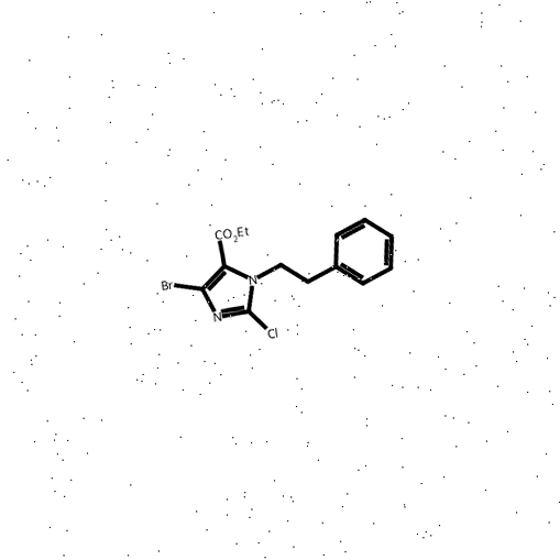 CCOC(=O)c1c(Br)nc(Cl)n1CCc1ccccc1